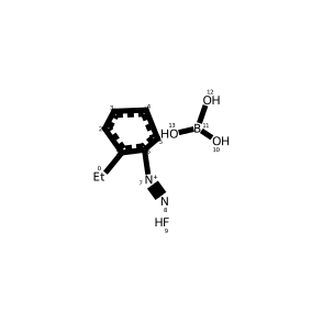 CCc1ccccc1[N+]#N.F.OB(O)O